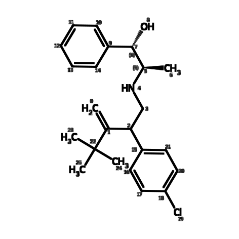 C=C(C(CN[C@H](C)[C@@H](O)c1ccccc1)c1ccc(Cl)cc1)C(C)(C)C